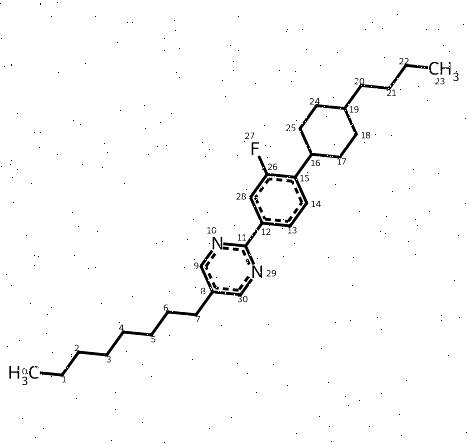 CCCCCCCCc1cnc(-c2ccc(C3CCC(CCCC)CC3)c(F)c2)nc1